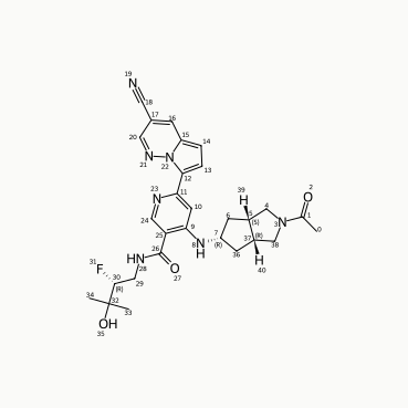 CC(=O)N1C[C@H]2C[C@@H](Nc3cc(-c4ccc5cc(C#N)cnn45)ncc3C(=O)NC[C@@H](F)C(C)(C)O)C[C@H]2C1